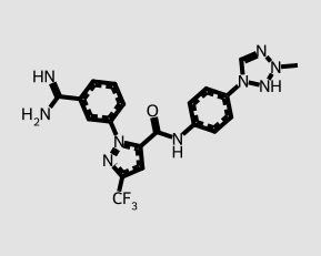 CN1N=CN(c2ccc(NC(=O)c3cc(C(F)(F)F)nn3-c3cccc(C(=N)N)c3)cc2)N1